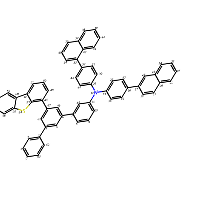 c1ccc(-c2cc(-c3cccc(N(c4ccc(-c5ccc6ccccc6c5)cc4)c4ccc(-c5cccc6ccccc56)cc4)c3)cc(-c3cccc4c3sc3ccccc34)c2)cc1